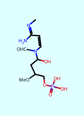 C/N=C(N)\C=C/N(C=O)C(O)CC(COP(=O)(O)O)OC